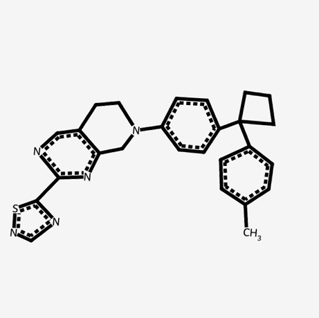 Cc1ccc(C2(c3ccc(N4CCc5cnc(-c6ncns6)nc5C4)cc3)CCC2)cc1